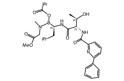 COC(=O)CN(C)B(OC(=O)C(C)C)[C@H](CC(C)C)NC(=O)[C@@H](NC(=O)c1cccc(-c2ccccc2)n1)[C@@H](C)O